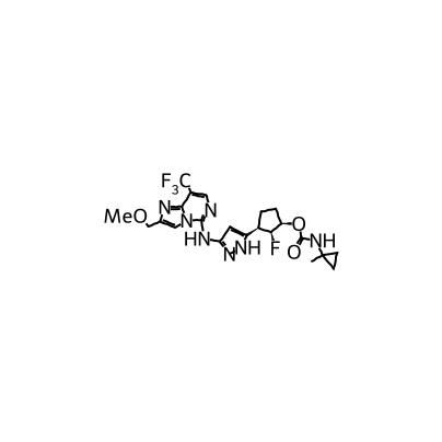 COCc1cn2c(Nc3cc([C@H]4CC[C@@H](OC(=O)NC5(C)CC5)[C@H]4F)[nH]n3)ncc(C(F)(F)F)c2n1